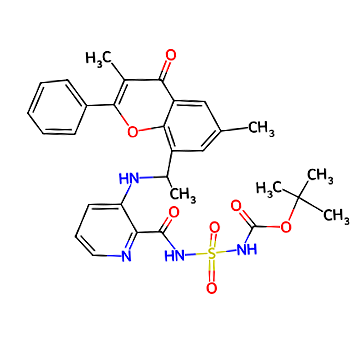 Cc1cc(C(C)Nc2cccnc2C(=O)NS(=O)(=O)NC(=O)OC(C)(C)C)c2oc(-c3ccccc3)c(C)c(=O)c2c1